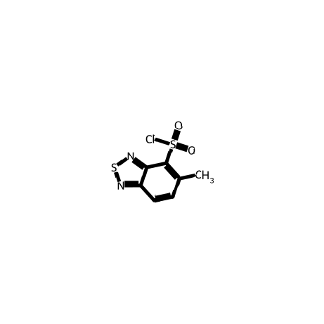 Cc1ccc2nsnc2c1S(=O)(=O)Cl